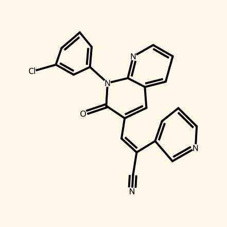 N#C/C(=C/c1cc2cccnc2n(-c2cccc(Cl)c2)c1=O)c1cccnc1